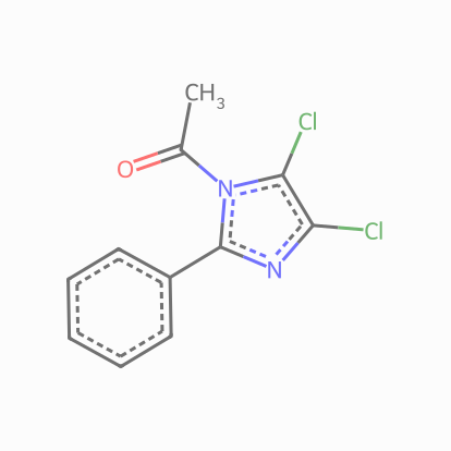 CC(=O)n1c(-c2ccccc2)nc(Cl)c1Cl